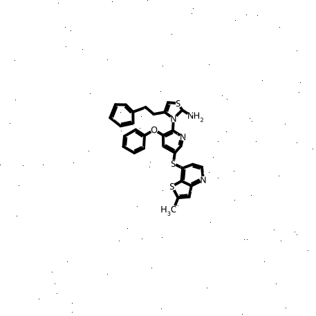 Cc1cc2nccc(Sc3cnc(N4C(CCc5ccccc5)=CSC4N)c(Oc4ccccc4)c3)c2s1